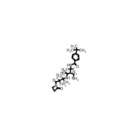 CC(C)(C)c1ccc(C(=O)NC(C)(C)C(CN)C(=O)NC(C)(C)C(C)(C)C(=O)N2CCC2=O)cc1